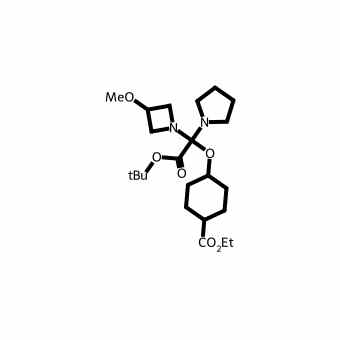 CCOC(=O)C1CCC(OC(C(=O)OC(C)(C)C)(N2CCCC2)N2CC(OC)C2)CC1